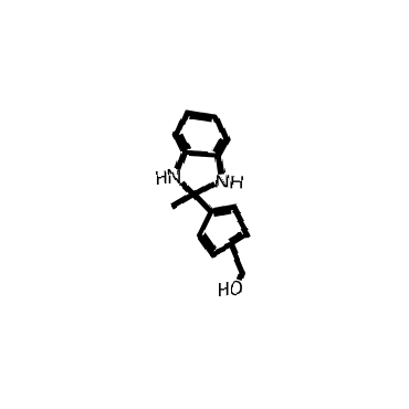 CC1(c2ccc(CO)cc2)Nc2ccccc2N1